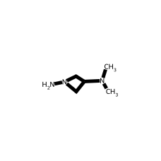 CN(C)C1CN(N)C1